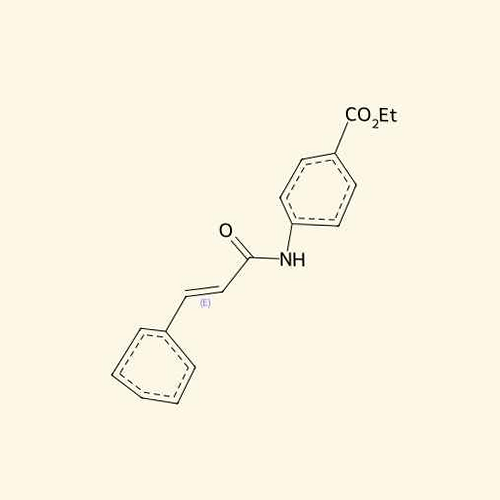 CCOC(=O)c1ccc(NC(=O)/C=C/c2ccccc2)cc1